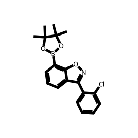 CC1(C)OB(c2cccc3c(-c4ccccc4Cl)noc23)OC1(C)C